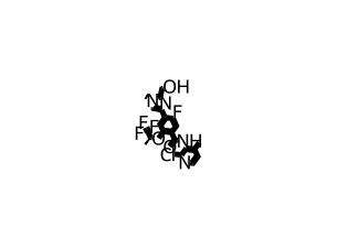 Cc1ccnc(Cl)c1NC(=O)c1cc(F)c(-c2cn(C)c(CO)n2)cc1O[C@@H](C)C(F)(F)F